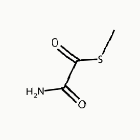 CSC(=O)C(N)=O